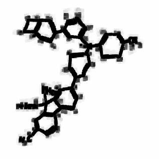 CCCCCCC1(CCCCCC)c2cc(C)ccc2-c2ccc(-c3ccc(N(c4ccc(C)cc4)c4cccc(-c5ccc6c(c5)CC6)c4)cc3)cc21